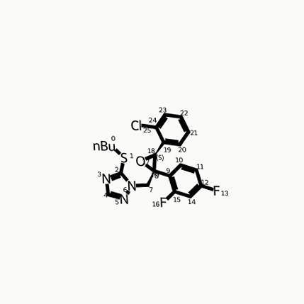 CCCCSc1ncnn1C[C@@]1(c2ccc(F)cc2F)O[C@H]1c1ccccc1Cl